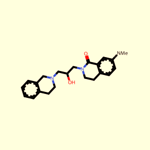 CNc1ccc2c(c1)C(=O)N(CC(O)CN1CCc3ccccc3C1)CC2